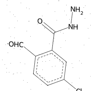 NNC(=O)c1cc(Cl)ccc1[C]=O